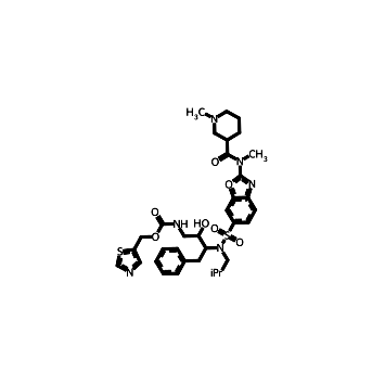 CC(C)CN(C(Cc1ccccc1)C(O)CNC(=O)OCc1cncs1)S(=O)(=O)c1ccc2nc(N(C)C(=O)C3CCCN(C)C3)oc2c1